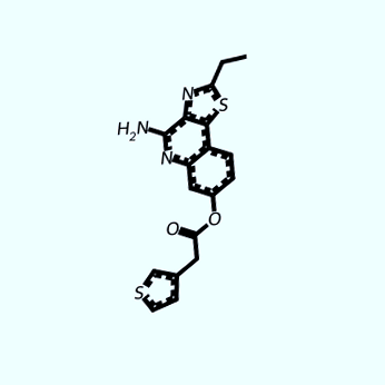 CCc1nc2c(N)nc3cc(OC(=O)Cc4ccsc4)ccc3c2s1